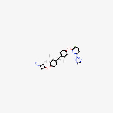 CC(C)(c1ccc(Oc2nc(-n3nccn3)ccc2F)cc1)c1ccc(OC2CC(NC(=O)O)C2)cc1